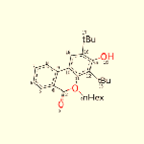 CCCCCCOC(=O)c1ccccc1-c1cc(C(C)(C)C)c(O)c(C(C)(C)C)c1